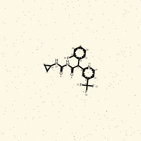 O=C(NC(=O)C(c1cc(C(F)(F)F)ccn1)c1ccccc1F)NC1CC1